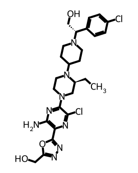 CC[C@H]1CN(c2nc(N)c(-c3nnc(CO)o3)nc2Cl)CCN1C1CCN([C@H](CO)c2ccc(Cl)cc2)CC1